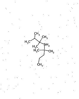 CCCC(C)(C)[SiH2]C(C)(C)C(C)C